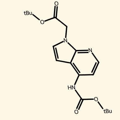 CC(C)(C)OC(=O)Cn1ccc2c(NC(=O)OC(C)(C)C)ccnc21